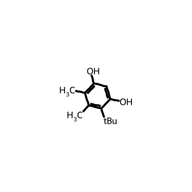 Cc1c(O)cc(O)c(C(C)(C)C)c1C